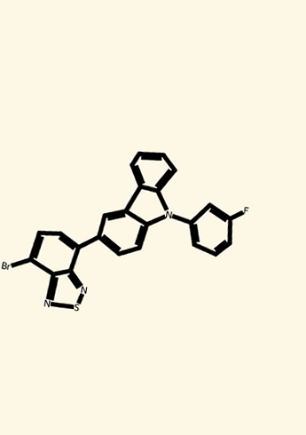 Fc1cccc(-n2c3ccccc3c3cc(-c4ccc(Br)c5nsnc45)ccc32)c1